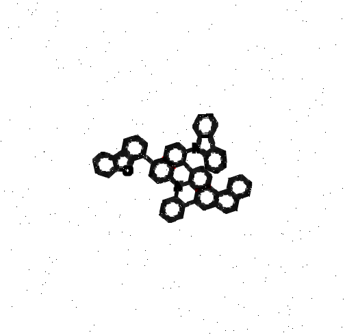 c1ccc(N(c2ccc(-c3cccc4c3oc3ccccc34)cc2)c2ccccc2-c2ccccc2-n2c3ccccc3c3ccccc32)c(-c2ccc3c(ccc4ccccc43)c2)c1